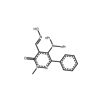 CCCN(CCC)c1c(-c2ccccc2)nn(C)c(=O)c1/C=N/O